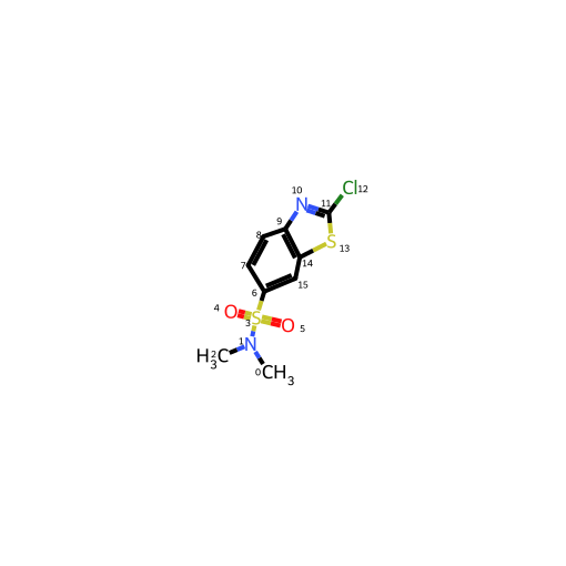 CN(C)S(=O)(=O)c1ccc2nc(Cl)sc2c1